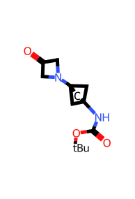 CC(C)(C)OC(=O)NC12CC(N3CC(=O)C3)(C1)C2